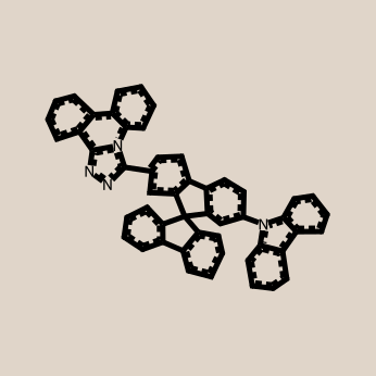 c1ccc2c(c1)-c1ccccc1C21c2cc(-c3nnc4c5ccccc5c5ccccc5n34)ccc2-c2ccc(-n3c4ccccc4c4ccccc43)cc21